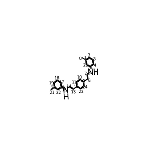 Cc1cccc(NC=Cc2ccc(C=CNc3cccc(C)c3)cc2)c1